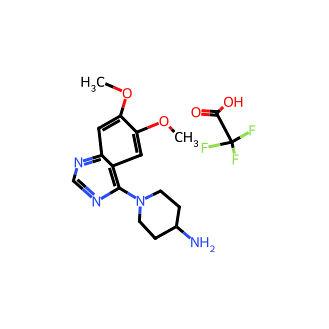 COc1cc2ncnc(N3CCC(N)CC3)c2cc1OC.O=C(O)C(F)(F)F